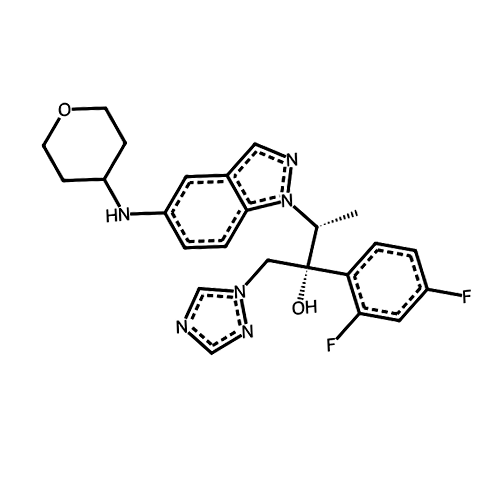 C[C@@H](n1ncc2cc(NC3CCOCC3)ccc21)[C@](O)(Cn1cncn1)c1ccc(F)cc1F